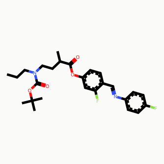 CCCN(CCC(C)C(=O)Oc1ccc(/C=N/c2ccc(F)cc2)c(F)c1)C(=O)OC(C)(C)C